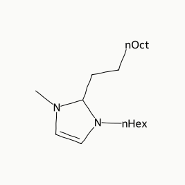 CCCCCCCCCCC1N(C)C=CN1CCCCCC